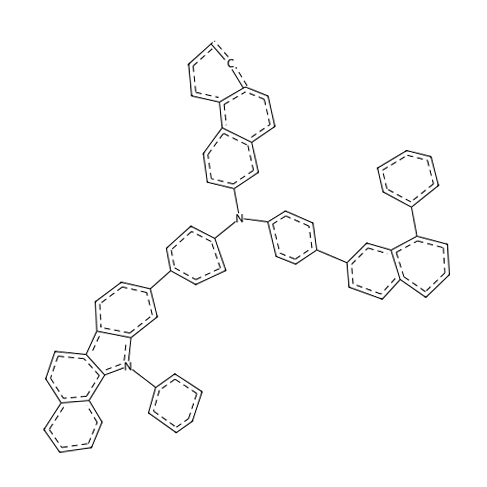 c1ccc(-c2cccc3ccc(-c4ccc(N(c5ccc(-c6ccc7c8ccc9ccccc9c8n(-c8ccccc8)c7c6)cc5)c5ccc6c(ccc7ccccc76)c5)cc4)cc23)cc1